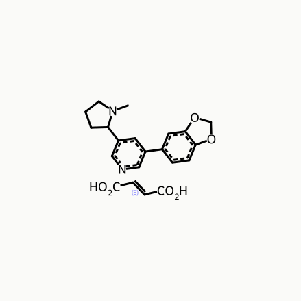 CN1CCCC1c1cncc(-c2ccc3c(c2)OCO3)c1.O=C(O)/C=C/C(=O)O